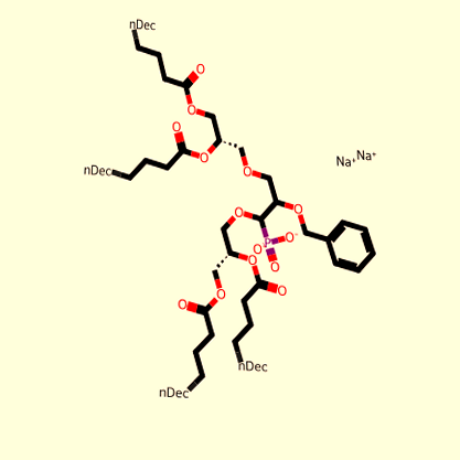 CCCCCCCCCCCCCC(=O)OC[C@H](COC(C(COC[C@@H](COC(=O)CCCCCCCCCCCCC)OC(=O)CCCCCCCCCCCCC)OCc1ccccc1)P(=O)([O-])[O-])OC(=O)CCCCCCCCCCCCC.[Na+].[Na+]